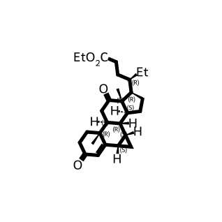 CCOC(=O)CC[C@@H](CC)[C@H]1CC[C@H]2[C@@H]3[C@@H]4C[C@@H]4C4=CC(=O)CC[C@]4(C)[C@H]3CC(=O)[C@]12C